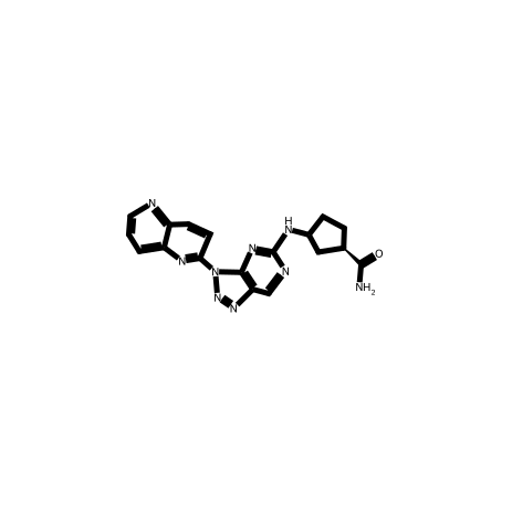 NC(=O)[C@@H]1CCC(Nc2ncc3nnn(-c4ccc5ncccc5n4)c3n2)C1